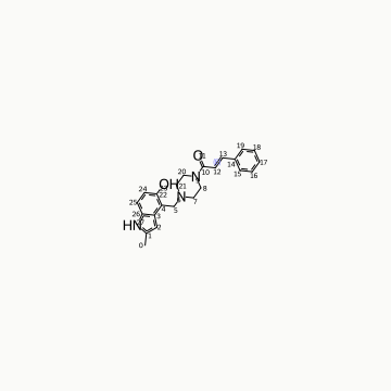 Cc1cc2c(CN3CCN(C(=O)/C=C/c4ccccc4)CC3)c(O)ccc2[nH]1